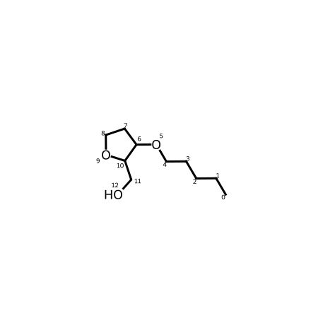 CCCCCOC1CCOC1CO